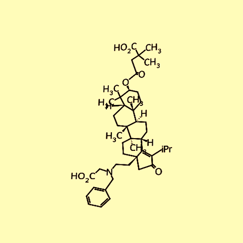 CC(C)C1=C2[C@H]3CC[C@@H]4[C@@]5(C)CC[C@H](OC(=O)CC(C)(C)C(=O)O)C(C)(C)[C@H]5CC[C@@]4(C)[C@]3(C)CC[C@@]2(CCN(CC(=O)O)Cc2ccccc2)CC1=O